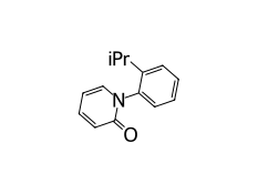 CC(C)c1ccccc1-n1ccccc1=O